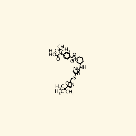 CC(C)(C)c1cnc(CSc2cnn(N[C@@H]3CCCN(S(=O)(=O)c4ccc(N(C(=O)O)C(C)(C)C)cc4)C3)n2)o1